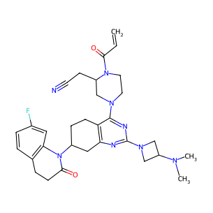 C=CC(=O)N1CCN(c2nc(N3CC(N(C)C)C3)nc3c2CCC(N2C(=O)CCc4ccc(F)cc42)C3)CC1CC#N